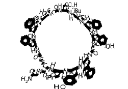 CCCC[C@H]1C(=O)N(C)CC(=O)N[C@@H](CC(=O)O)C(=O)N[C@@H]([C@@H](C)CC)C(=O)N(C)[C@@H](Cc2ccccc2)C(=O)N[C@@H](Cc2ccc(O)cc2)C(=O)N(C)CC(=O)N[C@@H](Cc2c[nH]c3ccccc23)C(=O)N[C@@H](Cc2ccc(O)cc2)C(=O)N[C@@H](CC(C)C)C(=O)N[C@H](C(=O)NCC(N)=O)CSCC(=O)N[C@@H](Cc2ccccc2)C(=O)N(C)[C@@H](Cc2ccccc2)C(=O)N1C